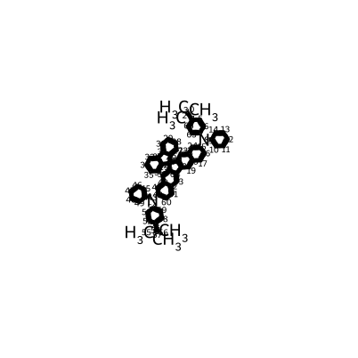 CC(C)(C)c1ccc(N(c2ccccc2)c2ccc3cc4c(cc3c2)C2(c3ccccc3-c3ccccc32)c2cc3cc(N(c5ccccc5)c5ccc(C(C)(C)C)cc5)ccc3cc2-4)cc1